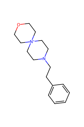 c1ccc(CCN2CC[N+]3(CCOCC3)CC2)cc1